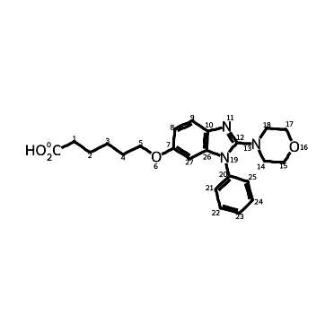 O=C(O)CCCCCOc1ccc2nc(N3CCOCC3)n(-c3ccccc3)c2c1